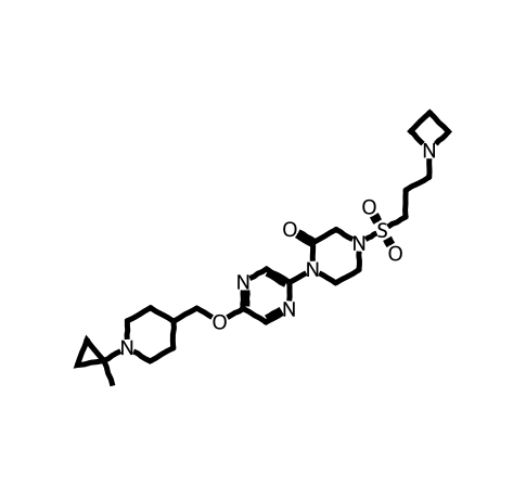 CC1(N2CCC(COc3cnc(N4CCN(S(=O)(=O)CCCN5CCC5)CC4=O)cn3)CC2)CC1